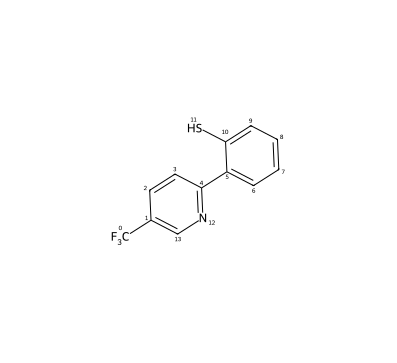 FC(F)(F)c1ccc(-c2ccccc2S)nc1